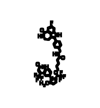 C[C@H]1CC[C@H](C(OCCCCC(=O)NCc2ccc(-c3[nH]c4cc(F)cc5c4c3CCNC5=O)cc2)C(F)(F)F)N1c1ccc2[nH]c(=O)cc(C(F)(F)F)c2c1